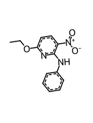 CCOc1ccc([N+](=O)[O-])c(Nc2ccccc2)n1